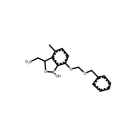 Cc1ccc(OCOCc2ccccc2)c2c1C(C[N+](=O)[O-])OB2O